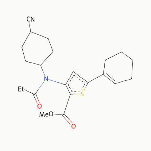 CCC(=O)N(c1cc(C2=CCCCC2)sc1C(=O)OC)C1CCC(C#N)CC1